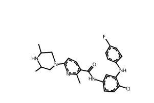 Cc1nc(N2CC(C)NC(C)C2)ccc1C(=O)Nc1ccc(Cl)c(Nc2ccc(F)cc2)c1